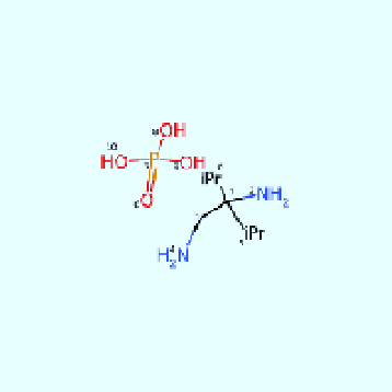 CC(C)C(N)(CN)C(C)C.O=P(O)(O)O